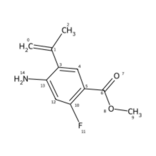 C=C(C)c1cc(C(=O)OC)c(F)cc1N